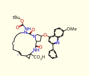 COc1ccc2c(OC3CC4C(=O)NC5(C(=O)O)CC5/C=C/CCCCCN(NC(=O)OC(C)(C)C)C(=O)N4C3)cc(-c3ccccc3)nc2c1